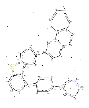 C1=CCC2=C(C=C1)C=CC1=CC=C(c3ccc4sc5cccc(-c6ccc(-c7cccnc7)cc6)c5c4c3)CC12